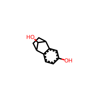 Oc1ccc2c(c1)C1CCC2C1O